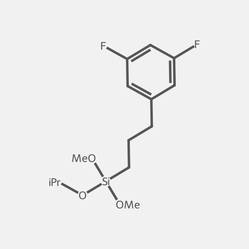 CO[Si](CCCc1cc(F)cc(F)c1)(OC)OC(C)C